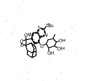 COC1(c2cc(OC3CC(C)C(O)C(O)C3O)c3nc(C(C)(C)C)sc3c2)OOC12C1CC3CC(C1)CC2C3